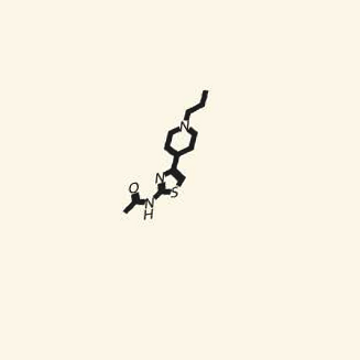 CCCN1CCC(c2csc(NC(C)=O)n2)CC1